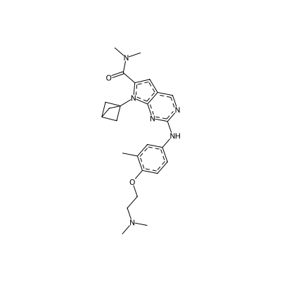 Cc1cc(Nc2ncc3cc(C(=O)N(C)C)n(C45CC(C4)C5)c3n2)ccc1OCCN(C)C